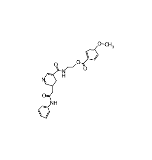 COc1ccc(C(=O)OCCNC(=O)C2=CN=CC(CC(=O)Nc3ccccc3)C2)cc1